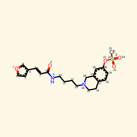 O=C(C=Cc1ccoc1)NCCCCN1CCc2ccc(OS(=O)(=O)C(F)(F)F)cc2C1